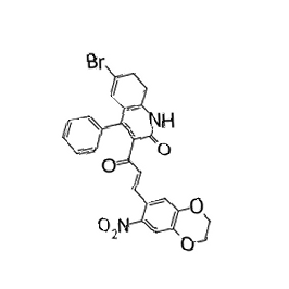 O=C(C=Cc1cc2c(cc1[N+](=O)[O-])OCCO2)c1c(-c2ccccc2)c2c([nH]c1=O)CCC(Br)=C2